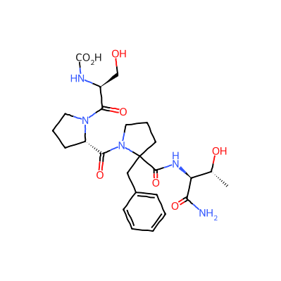 C[C@@H](O)[C@H](NC(=O)C1(Cc2ccccc2)CCCN1C(=O)[C@@H]1CCCN1C(=O)[C@H](CO)NC(=O)O)C(N)=O